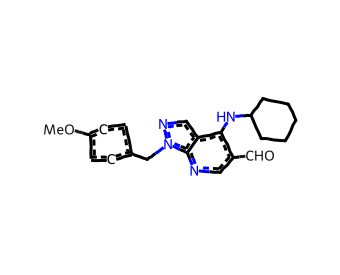 COc1ccc(Cn2ncc3c(NC4CCCCC4)c(C=O)cnc32)cc1